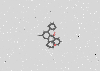 CC1=CC(c2ccccc2)C(C(=O)c2ccccc2)C(c2ccccc2)C1